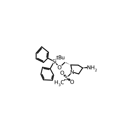 CC(C)(C)[Si](OC[C@@H]1C[C@@H](N)CN1S(C)(=O)=O)(c1ccccc1)c1ccccc1